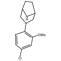 COc1cc(Cl)ccc1N1CC2CCC(C1)N2